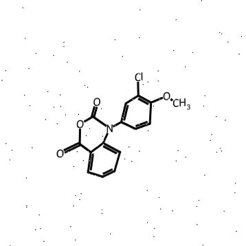 COc1ccc(-n2c(=O)oc(=O)c3ccccc32)cc1Cl